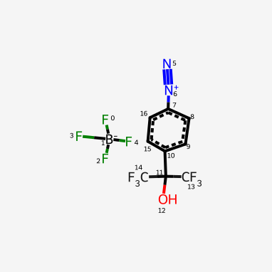 F[B-](F)(F)F.N#[N+]c1ccc(C(O)(C(F)(F)F)C(F)(F)F)cc1